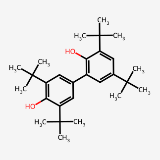 CC(C)(C)c1cc(-c2cc(C(C)(C)C)c(O)c(C(C)(C)C)c2)c(O)c(C(C)(C)C)c1